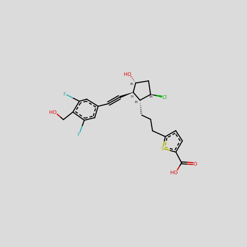 O=C(O)c1ccc(CCC[C@@H]2[C@@H](C#Cc3cc(F)c(CO)c(F)c3)[C@H](O)C[C@H]2Cl)s1